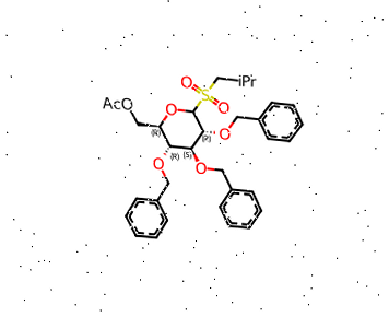 CC(=O)OC[C@H]1OC(S(=O)(=O)CC(C)C)[C@H](OCc2ccccc2)[C@@H](OCc2ccccc2)[C@@H]1OCc1ccccc1